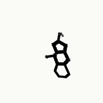 FC(F)(F)c1nc2nc3c(c([S])n2n1)CCCC3